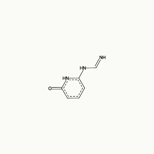 N=CNc1cccc(=O)[nH]1